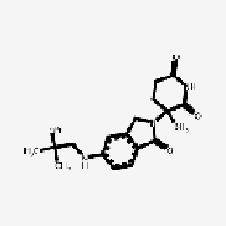 BC1(N2Cc3cc(NCC(C)(C)CCC)ccc3C2=O)CCC(=O)NC1=O